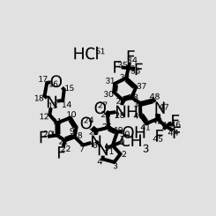 CC12CCCN1N(Cc1ccc(CN3CCOCC3)c(F)c1F)C(=O)C(C(=O)Nc1ccc(C(F)(F)F)cc1-c1ccc(C(F)(F)F)nc1)=C2O.Cl